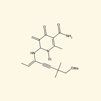 C=C1C(=O)C(C(N)=O)=C(C)N(CC)C1N/C(C#CC(C)(C)COC)=C\C